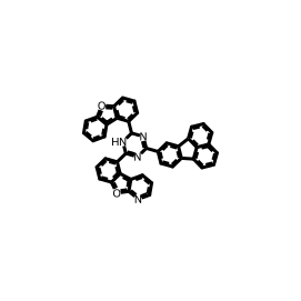 c1cc2c3c(cccc3c1)-c1cc(C3=NC(c4cccc5oc6ccccc6c45)NC(c4cccc5oc6ncccc6c45)=N3)ccc1-2